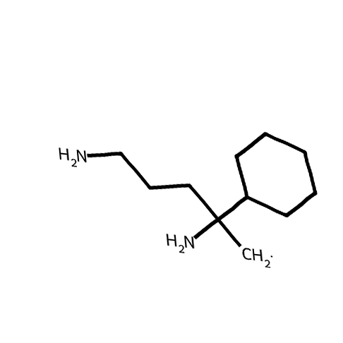 [CH2]C(N)(CCCN)C1CCCCC1